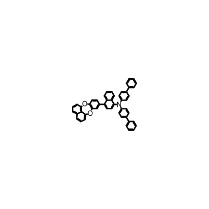 c1ccc(-c2ccc(N(c3ccc(-c4ccccc4)cc3)c3ccc(-c4ccc5c(c4)Oc4cccc6cccc(c46)O5)c4ccccc34)cc2)cc1